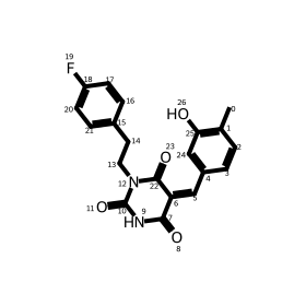 Cc1ccc(/C=C2/C(=O)NC(=O)N(CCc3ccc(F)cc3)C2=O)cc1O